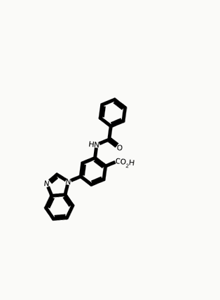 O=C(Nc1cc(-n2cnc3ccccc32)ccc1C(=O)O)c1ccccc1